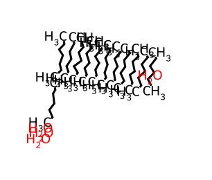 CCCCCCC.CCCCCCC.CCCCCCC.CCCCCCC.CCCCCCC.CCCCCCC.CCCCCCC.CCCCCCC.CCCCCCC.CCCCCCC.CCCCCCC.CCCCCCC.O.O.O.O